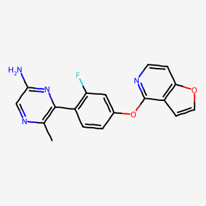 Cc1ncc(N)nc1-c1ccc(Oc2nccc3occc23)cc1F